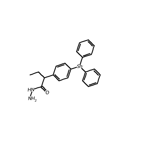 CCC(C(=O)NN)c1cc[c]([Sn]([c]2ccccc2)[c]2ccccc2)cc1